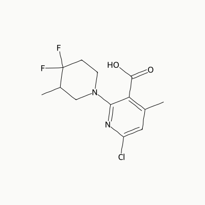 Cc1cc(Cl)nc(N2CCC(F)(F)C(C)C2)c1C(=O)O